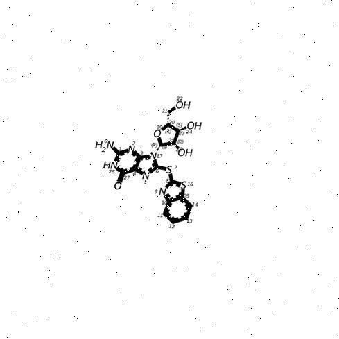 Nc1nc2c(nc(Sc3nc4ccccc4s3)n2[C@@H]2O[C@H](CO)[C@@H](O)[C@H]2O)c(=O)[nH]1